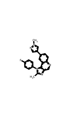 Cc1nc2cnc3ccc(-c4cnn(C)c4)cc3c2n1-c1ccc(F)cc1